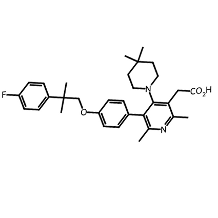 Cc1nc(C)c(-c2ccc(OCC(C)(C)c3ccc(F)cc3)cc2)c(N2CCC(C)(C)CC2)c1CC(=O)O